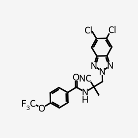 CC(C#N)(Cn1nc2cc(Cl)c(Cl)cc2n1)NC(=O)c1ccc(OC(F)(F)F)cc1